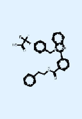 O=C(NCCc1ccccc1)c1cccc(-c2nc3ccccc3n2Cc2ccccc2)c1.O=C(O)C(F)(F)F